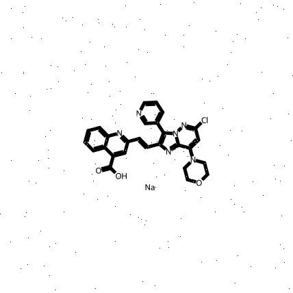 O=C(O)c1cc(C=Cc2nc3c(N4CCOCC4)cc(Cl)nn3c2-c2cccnc2)nc2ccccc12.[Na]